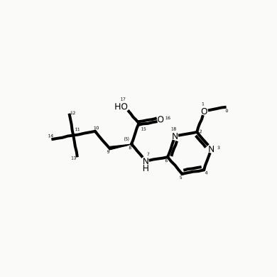 COc1nccc(N[C@@H](CCC(C)(C)C)C(=O)O)n1